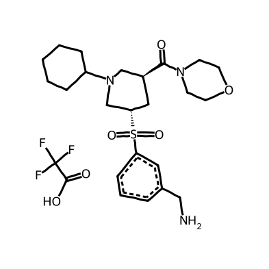 NCc1cccc(S(=O)(=O)[C@H]2C[C@H](C(=O)N3CCOCC3)CN(C3CCCCC3)C2)c1.O=C(O)C(F)(F)F